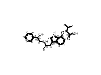 CC(C)[C@@H](Oc1cccc2c(C[C@@H](C)NC[C@@H](O)c3cccnc3)c[nH]c12)C(=O)O